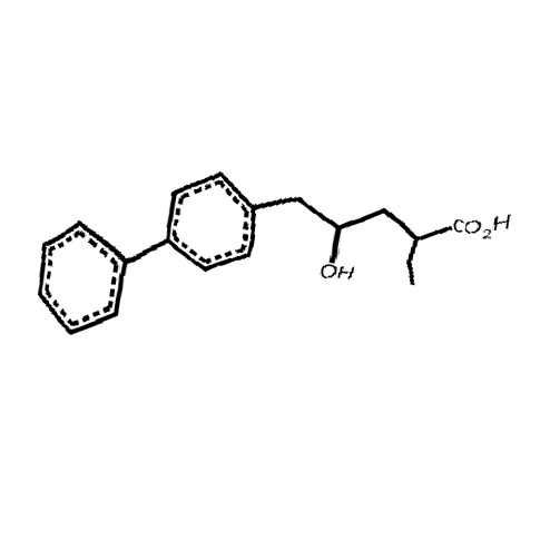 CC(CC(O)Cc1ccc(-c2ccccc2)cc1)C(=O)O